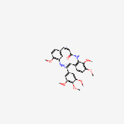 COc1ccc(/C=C\C(=O)Nc2c(/C=C\c3cc(OC)c(OC)c(OC)c3)ccc(OC)c2OC)cc1N